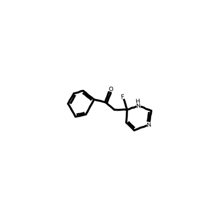 O=C(CC1(F)C=CN=CN1)c1ccccc1